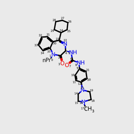 CCCN1C(=O)[C@H](NC(=O)Nc2ccc(N3CCN(C)CC3)cc2)N=C(C2CCCCC2)c2ccccc21